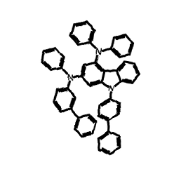 c1ccc(-c2ccc(-n3c4ccccc4c4c(N(c5ccccc5)c5ccccc5)cc(N(c5ccccc5)c5cccc(-c6ccccc6)c5)cc43)cc2)cc1